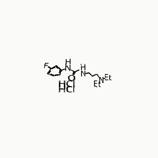 CCN(CC)CCCNCC(=O)Nc1cccc(F)c1.Cl.Cl